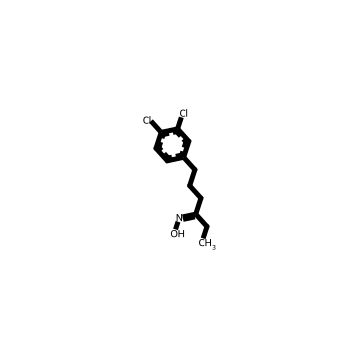 CCC(CCCc1ccc(Cl)c(Cl)c1)=NO